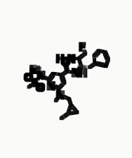 CCN(c1cc(C(=O)N[C@@H](Cc2ccccc2)C(N)CF)cc(N(C)CC2CC2C)n1)S(C)(=O)=O